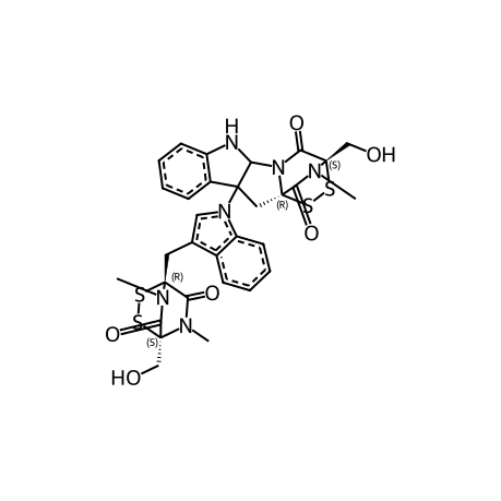 CN1C(=O)[C@@]2(Cc3cn(C45C[C@]67SS[C@@](CO)(C(=O)N6C4Nc4ccccc45)N(C)C7=O)c4ccccc34)SS[C@@]1(CO)C(=O)N2C